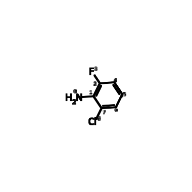 Nc1c(F)c[c]cc1Cl